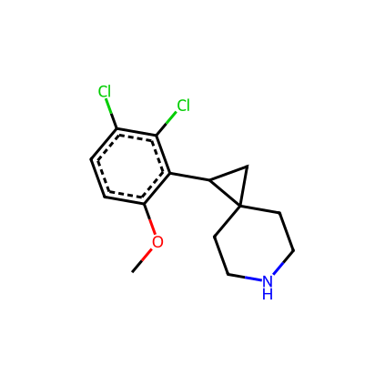 COc1ccc(Cl)c(Cl)c1C1CC12CCNCC2